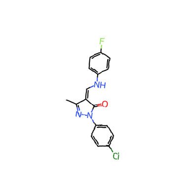 CC1=NN(c2ccc(Cl)cc2)C(=O)C1=CNc1ccc(F)cc1